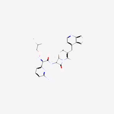 CC(CO/N=C(\C(=O)NC1C(=O)N2C(C(=O)O)=C(Cc3ccnc4cscc34)CS[C@H]12)c1cccc(N)n1)C(=O)O